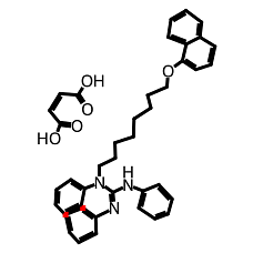 O=C(O)/C=C\C(=O)O.c1ccc(/N=C(/Nc2ccccc2)N(CCCCCCCCOc2cccc3ccccc23)c2ccccc2)cc1